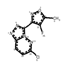 Cc1onc(-c2nnc3ccc(Cl)nn23)c1F